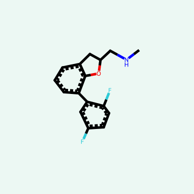 CNCC1Cc2cccc(-c3cc(F)ccc3F)c2O1